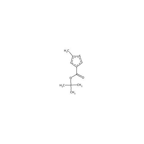 Cc1cc(C(=O)OC(C)(C)C)cs1